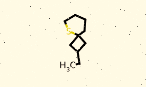 CCC1CC2(CCCCS2)C1